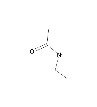 CC[N]C(C)=O